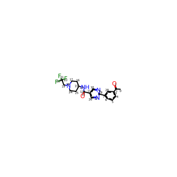 CC(=O)c1cccc(-c2ncc(C(=O)NC3CCN(CC(F)(F)F)CC3)cn2)c1